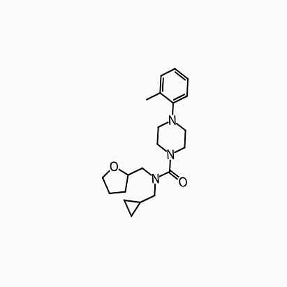 Cc1ccccc1N1CCN(C(=O)N(CC2CC2)CC2CCCO2)CC1